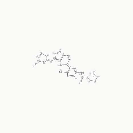 O=C(Nc1cc(-c2cnc3ncn(Cc4cccc(F)c4)c3n2)c(Cl)cn1)[C@@H]1CCCNC1